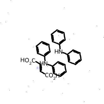 O=C(O)/C=C/C(=O)O.c1ccc(Nc2ccccc2)cc1.c1ccc(Nc2ccccc2)cc1